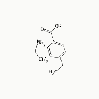 CCN.CCc1ccc(C(=O)O)cc1